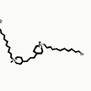 C[N+]1(CCCCCCCCCCCBr)CCC(CCCC2CC[N+](C)(CCCCCCCCCCCBr)CC2)CC1